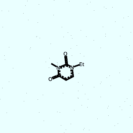 CCn1ccc(=O)n(C)c1=O